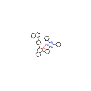 c1ccc(C2=NC(c3ccccc3)NC(c3cccc4c3oc3c(-c5ccc(-c6cccc7ccccc67)cc5)cc5ccccc5c34)=N2)cc1